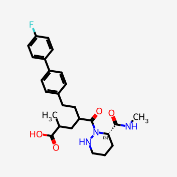 CNC(=O)[C@@H]1CCCNN1C(=O)C(CCc1ccc(-c2ccc(F)cc2)cc1)CC(C)C(=O)O